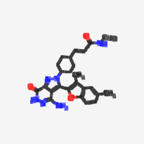 Cc1ccc2oc(-c3c4c(N)n[nH]c(=O)c4nn3C3CCC(C=CC(=O)NC=O)CC3)c(C)c2c1